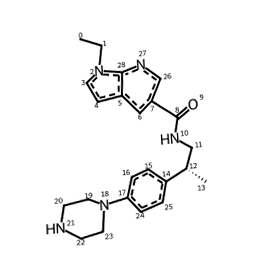 CCn1ccc2cc(C(=O)NC[C@H](C)c3ccc(N4CCNCC4)cc3)cnc21